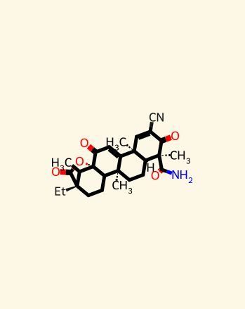 CC[C@@]12CCC3[C@](OC1=O)(C(=O)C=C1[C@@]3(C)CC[C@H]3[C@](C)(C(N)=O)C(=O)C(C#N)=C[C@]13C)C2C